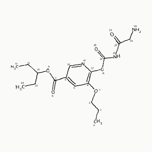 CCCOc1cc(C(=O)OC(CC)CC)cnc1OC(=O)NC(=O)CN